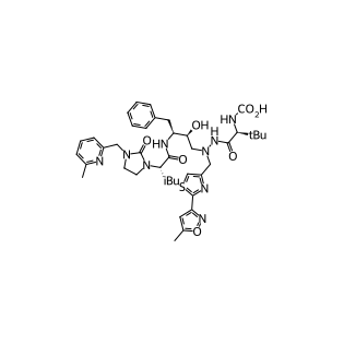 CCC(C)[C@@H](C(=O)N[C@@H](Cc1ccccc1)[C@@H](O)CN(Cc1csc(-c2cc(C)on2)n1)NC(=O)[C@@H](NC(=O)O)C(C)(C)C)N1CCN(Cc2cccc(C)n2)C1=O